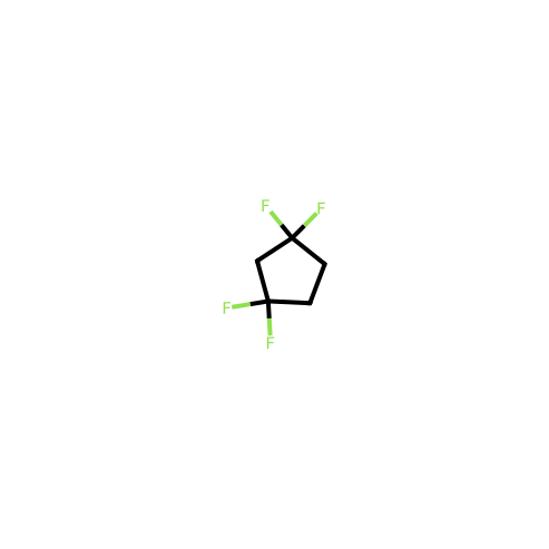 FC1(F)CCC(F)(F)C1